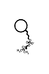 C[N+](C)(C)CCOP(=O)([O-])OCCCC=C1CCCCCCCCCCCCCC1